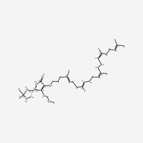 COCOC1=C(OCCCC(C)=CCCC(C)=CCCC=C(C)CCC=C(C)CCC=C(C)C)C(=O)O[C@@H]1[C@@H]1COC(C)(C)O1